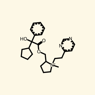 C[N+]1(CCc2ccncn2)CCCC1COC(=O)C(O)(c1ccccc1)C1CCCC1